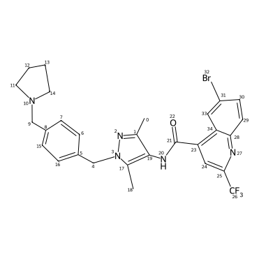 Cc1nn(Cc2ccc(CN3CCCC3)cc2)c(C)c1NC(=O)c1cc(C(F)(F)F)nc2ccc(Br)cc12